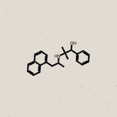 CC(Cc1cccc2ccccc12)NC(C)(C)C(O)c1ccccc1